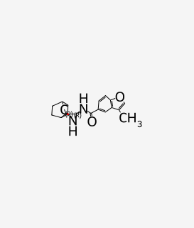 Cc1coc2ccc(C(=O)N[C@H]3N[C@@]34CC3CCC4CC3)cc12